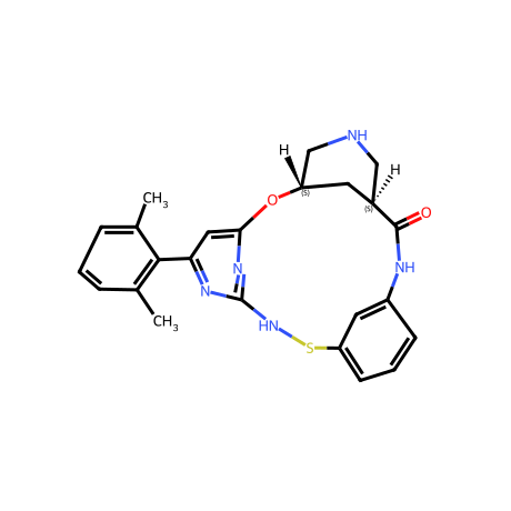 Cc1cccc(C)c1-c1cc2nc(n1)NSc1cccc(c1)NC(=O)[C@@H]1CNC[C@H](C1)O2